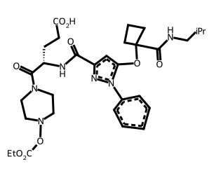 CCOC(=O)ON1CCN(C(=O)[C@H](CCC(=O)O)NC(=O)c2cc(OC3(C(=O)NCC(C)C)CCC3)n(-c3ccccc3)n2)CC1